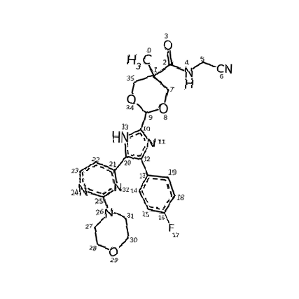 CC1(C(=O)NCC#N)COC(c2nc(-c3ccc(F)cc3)c(-c3ccnc(N4CCOCC4)n3)[nH]2)OC1